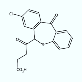 O=C(O)CCC(=O)C1Sc2ccccc2C(=O)c2ccc(Cl)cc21